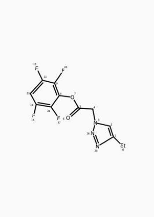 CCc1cn(CC(=O)Oc2c(F)c(F)cc(F)c2F)nn1